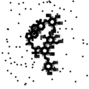 C[C@H](CC[C@@H](O[C@@H]1O[C@H](CO[C@@H]2O[C@@H](C)[C@H](O)[C@@H](O)[C@H]2O)[C@@H](O)[C@H](O)[C@H]1O[C@@H]1O[C@H](CO)[C@@H](O)[C@H](O)[C@H]1O)C(C)(C)O)[C@H]1CC[C@@]2(C)[C@@H]3CC=C4[C@@H](CC[C@H](O[C@@H]5O[C@H](CO)[C@@H](O)[C@H](O)[C@H]5O)C4(C)C)[C@]3(C)CC[C@]12C